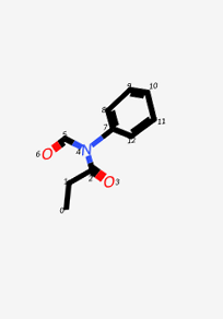 CCC(=O)N(C=O)c1ccccc1